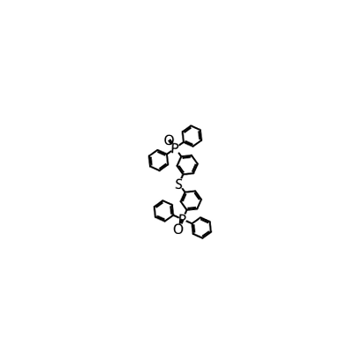 O=P(c1ccccc1)(c1ccccc1)c1cccc(Sc2cccc(P(=O)(c3ccccc3)c3ccccc3)c2)c1